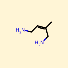 CC(=CCN)CN